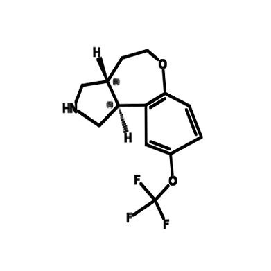 FC(F)(F)Oc1ccc2c(c1)[C@H]1CNC[C@@H]1CCO2